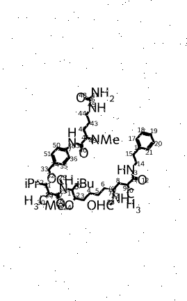 CCC(C)C(C(CCCC[C@@H](CC(C)C(=O)NCCc1ccccc1)NC=O)OC)N(C)C(=O)[C@H](C)C(OCc1ccc(NC(=O)C(CCCNC(N)=O)NC)cc1)C(C)C